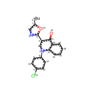 CC(C)(C)c1cnc(-c2cn(-c3ccc(Cl)cc3)c3ccccc3c2=O)o1